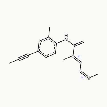 C=C(Nc1ccc(C#CC)cc1C)/C(C)=C/C=N\C